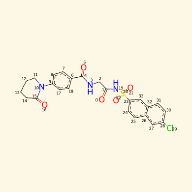 O=C(CNC(=O)c1ccc(N2CCCCC2=O)cc1)NS(=O)(=O)c1ccc2cc(Cl)ccc2c1